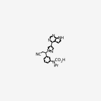 CC(C)N(C(=O)O)c1cccc(C(CC#N)n2cc(-c3ncnc4[nH]ccc34)cn2)c1